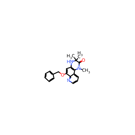 CN1C(=O)C(C)(C)Nc2cc(OCc3ccccc3)c3ncccc3c21